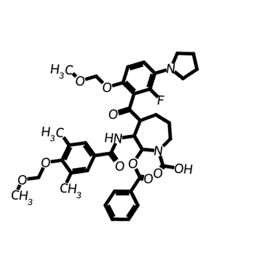 COCOc1ccc(N2CCCC2)c(F)c1C(=O)C1CCCN(C(=O)O)C(OC(=O)c2ccccc2)C1NC(=O)c1cc(C)c(OCOC)c(C)c1